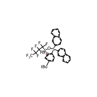 CC(C)(C)c1ccc(S(OS(=O)(=O)C(F)(F)C(F)(F)C(F)(F)C(F)(F)F)(c2ccc3ccccc3c2)c2ccc3ccccc3c2)cc1